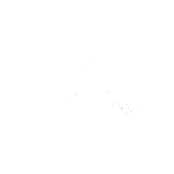 CCCCCCCCC(CC)OC(=O)CCCCCCCN(CCCCCCCC(=O)OC(CCCCCCCC)CCCCCCCC)CCCNc1cc[nH]c(=O)c1